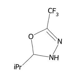 CC(C)C1NN=C(C(F)(F)F)O1